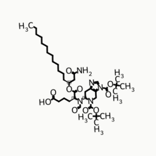 CCCCCCCCCCCCC[C@@H](CC(N)=O)OC(=O)[C@H](CCCC(=O)O)N(C=O)[C@@H]1Cc2ncn(C(=O)OC(C)(C)C)c2CN1C(=O)OC(C)(C)C